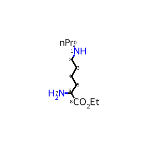 [CH2][CH]CNCCCCC(N)C(=O)OCC